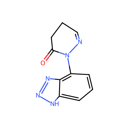 O=C1CCC=NN1c1cccc2[nH]nnc12